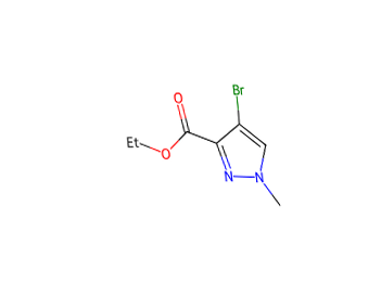 CCOC(=O)c1nn(C)cc1Br